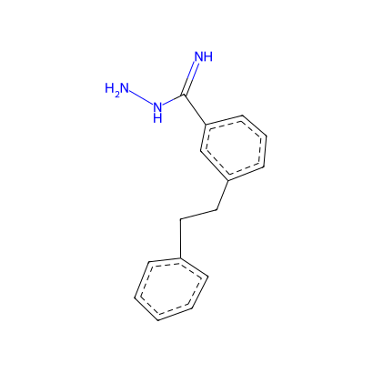 N=C(NN)c1cccc(CCc2ccccc2)c1